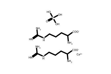 N=C(N)NCCCC(N)C(=O)[O-].N=C(N)NCCCC(N)C(=O)[O-].O=P(O)(O)O.[Ca+2]